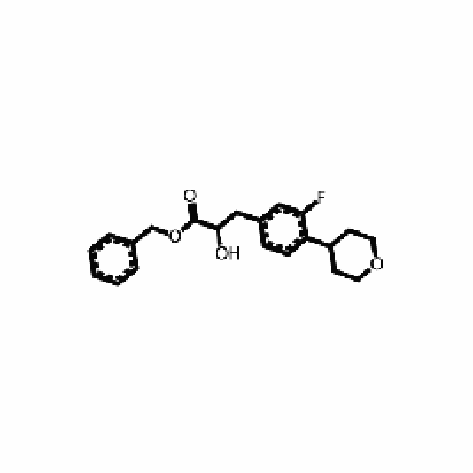 O=C(OCc1ccccc1)[C@H](O)Cc1ccc(C2CCOCC2)c(F)c1